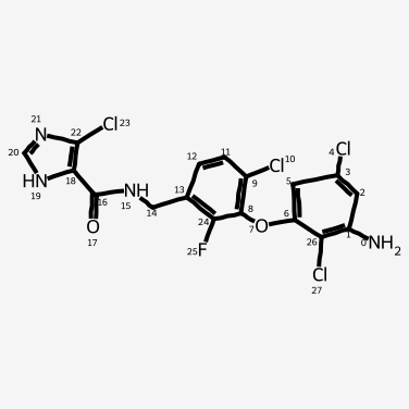 Nc1cc(Cl)cc(Oc2c(Cl)ccc(CNC(=O)c3[nH]cnc3Cl)c2F)c1Cl